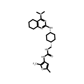 Cc1cc(NC(=O)NC[C@H]2CC[C@@H](Nc3nc4c(c(N(C)C)n3)CCCC4)CC2)c(C(F)(F)F)o1